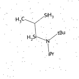 CC([SiH3])[SiH2]N(C(C)C)C(C)(C)C